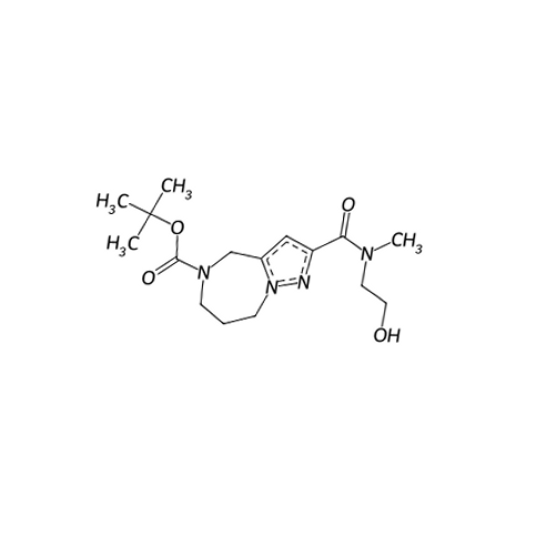 CN(CCO)C(=O)c1cc2n(n1)CCCN(C(=O)OC(C)(C)C)C2